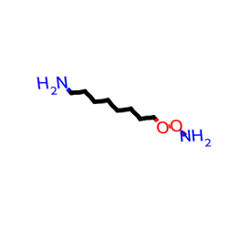 NCCCCCCCCOON